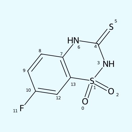 O=S1(=O)NC(=S)Nc2ccc(F)cc21